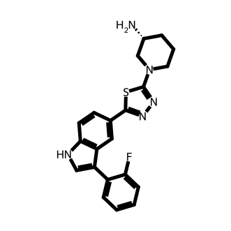 N[C@@H]1CCCN(c2nnc(-c3ccc4[nH]cc(-c5ccccc5F)c4c3)s2)C1